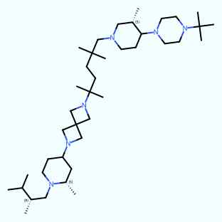 CC(C)[C@@H](C)CN1CCC(N2CC3(C2)CN(C(C)(C)CCC(C)(C)CN2CCC(N4CCN(C(C)(C)C)CC4)[C@@H](C)C2)C3)C[C@@H]1C